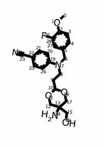 COc1ccc(CN(CCC2OCC(N)(CO)CO2)c2ccc(C#N)cc2)cc1F